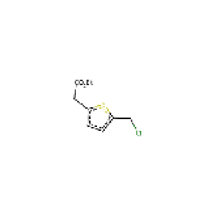 CCOC(=O)Cc1ccc(CCl)s1